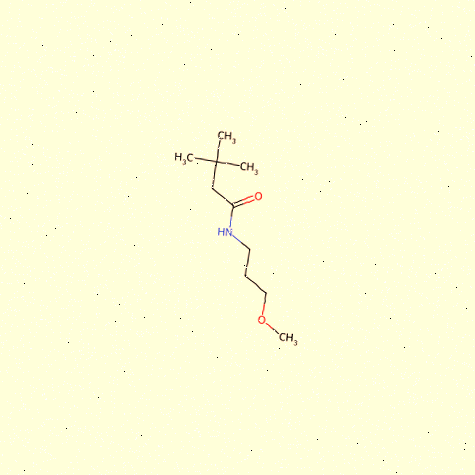 COCCCNC(=O)CC(C)(C)C